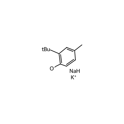 Cc1ccc([O-])c(C(C)(C)C)c1.[K+].[NaH]